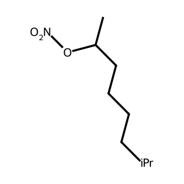 CC(C)CCCCC(C)O[N+](=O)[O-]